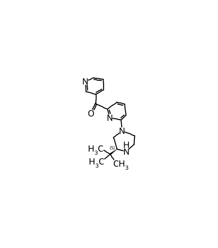 CC(C)(C)[C@H]1CN(c2cccc(C(=O)c3cccnc3)n2)CCN1